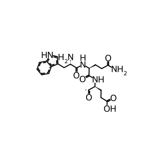 NC(=O)CC[C@H](NC(=O)[C@@H](N)Cc1c[nH]c2ccccc12)C(=O)N[C@H]([C]=O)CCC(=O)O